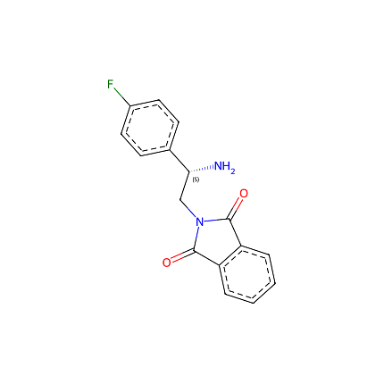 N[C@H](CN1C(=O)c2ccccc2C1=O)c1ccc(F)cc1